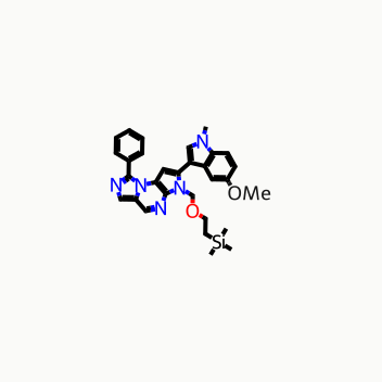 COc1ccc2c(c1)c(-c1cc3c(ncc4cnc(-c5ccccc5)n43)n1COCC[Si](C)(C)C)cn2C